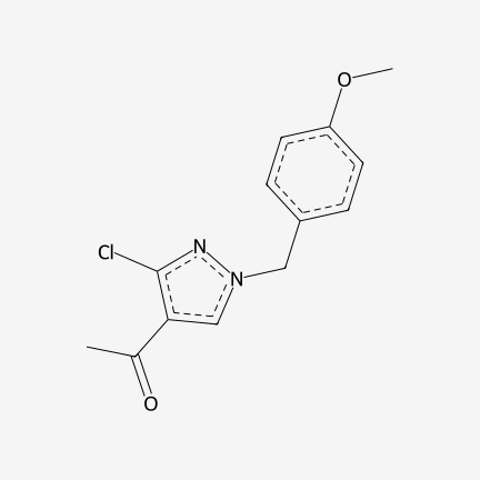 COc1ccc(Cn2cc(C(C)=O)c(Cl)n2)cc1